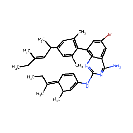 CC/C(C)=C1\C=CC(Nc2nc(N)c3cc(Br)cc(-c4c(C)cc(C(C)/C=C(\C)CC)cc4C)c3n2)=CC1C